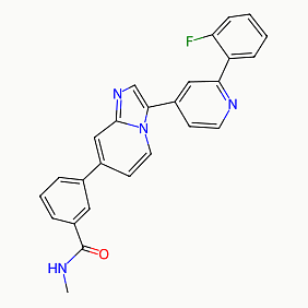 CNC(=O)c1cccc(-c2ccn3c(-c4ccnc(-c5ccccc5F)c4)cnc3c2)c1